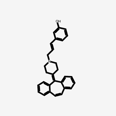 Oc1cccc(/C=C/CN2CCC(=C3c4ccccc4C=Cc4ccccc43)CC2)c1